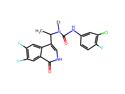 CCN(C(=O)Nc1ccc(F)c(Cl)c1)C(C)c1c[nH]c(=O)c2cc(F)c(F)cc12